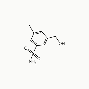 Cc1cc(CO)cc(S(N)(=O)=O)c1